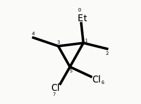 CCC1(C)C(C)C1(Cl)Cl